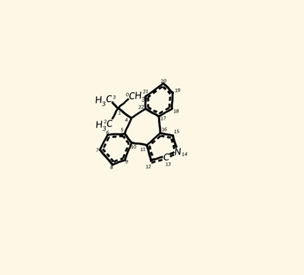 CC(C)(C)C1c2ccccc2-c2ccncc2-c2ccccc21